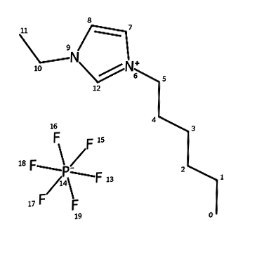 CCCCCC[n+]1ccn(CC)c1.F[P-](F)(F)(F)(F)F